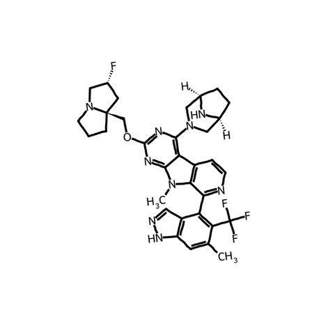 Cc1cc2[nH]ncc2c(-c2nccc3c4c(N5C[C@H]6CC[C@@H](C5)N6)nc(OC[C@@]56CCCN5C[C@H](F)C6)nc4n(C)c23)c1C(F)(F)F